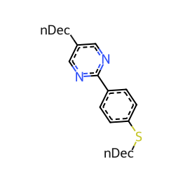 CCCCCCCCCCSc1ccc(-c2ncc(CCCCCCCCCC)cn2)cc1